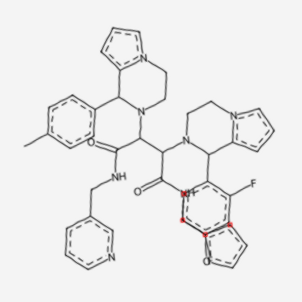 Cc1ccc(C2c3cccn3CCN2C(C(=O)NCc2cccnc2)C(C(=O)NCc2ccco2)N2CCn3cccc3C2c2ccc(F)cc2F)cc1